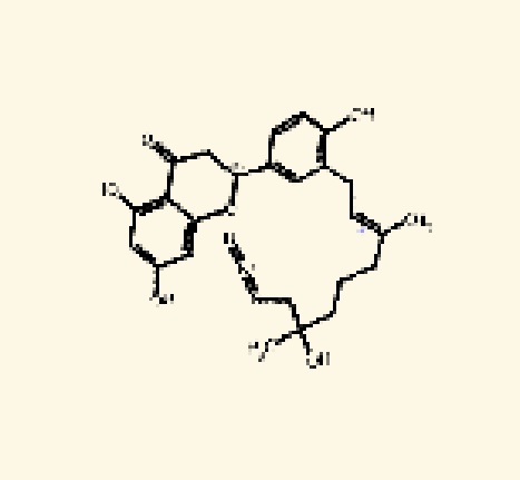 C/C(=C\Cc1cc([C@@H]2CC(=O)c3c(O)cc(O)cc3O2)ccc1O)CCCC(C)(O)CN=[N+]=[N-]